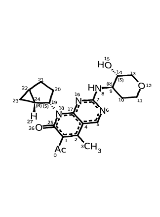 CC(=O)c1c(C)c2cnc(N[C@@H]3CCOC[C@H]3O)nc2n([C@H]2CCC3C[C@H]32)c1=O